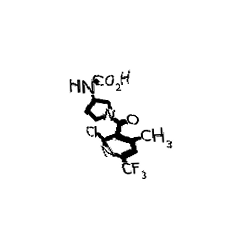 Cc1cc(C(F)(F)F)nc(Cl)c1C(=O)N1CC[C@H](NC(=O)O)C1